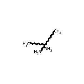 CCCCCCCC/C=C(\CCCCCCCC)C(N)CCN